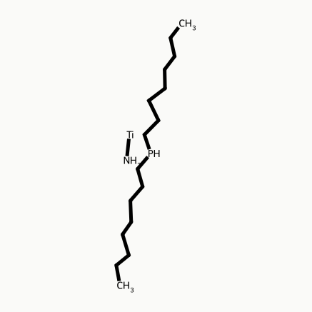 CCCCCCCCPCCCCCCCC.[NH2][Ti]